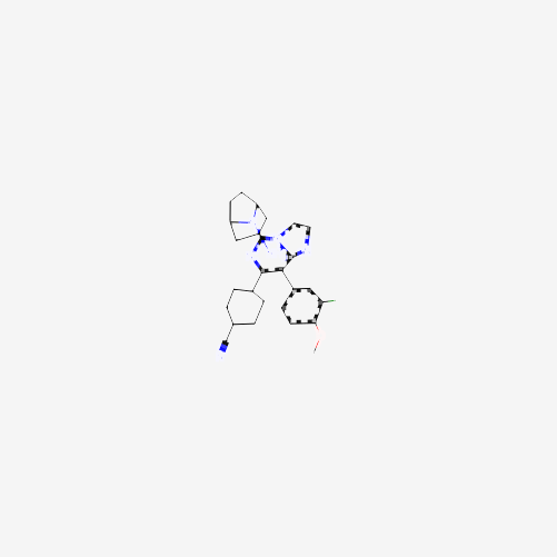 COc1ccc(-c2c(C3CCC(C#N)CC3)nc(N3C4CCC3CC(N)C4)n3ccnc23)cc1F